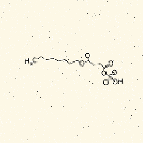 CCCCCCCCOC(=O)CCC(=O)OS(=O)(=O)O